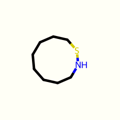 C1CCCCSNCCC1